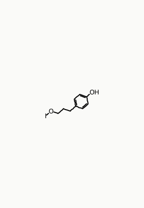 Oc1ccc(CCCOI)cc1